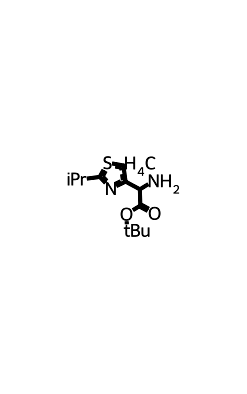 C.CC(C)c1nc(C(N)C(=O)OC(C)(C)C)cs1